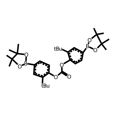 CC(C)(C)c1cc(B2OC(C)(C)C(C)(C)O2)ccc1OC(=O)Oc1ccc(B2OC(C)(C)C(C)(C)O2)cc1C(C)(C)C